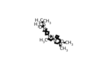 CCOC1(OCC)CCN(c2cc(C)n(C3CC4(C3)CN(C(=O)OC(C)(C)C)C4)n2)C2(CCC2)C1